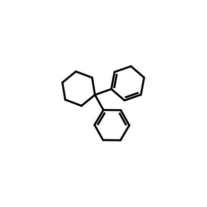 C1=CC(C2(C3=CCCC=C3)CCCCC2)=CCC1